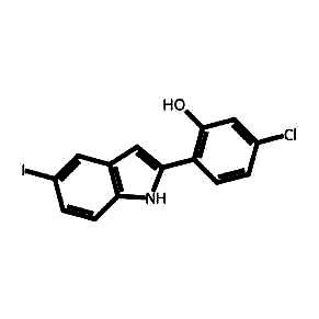 Oc1cc(Cl)ccc1-c1cc2cc(I)ccc2[nH]1